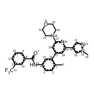 Cc1ccc(NC(=O)c2cccc(C(F)(F)F)c2)cc1-c1cc(-c2cnn(C)c2)nc(N2CCOCC2)c1